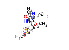 CCCc1nc(C)c2c(=O)[nH]c(-c3cc(S(=O)(=O)NOC)ccc3OCC)nn12